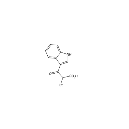 CCC(C(=O)O)C(=O)c1c[nH]c2ccccc12